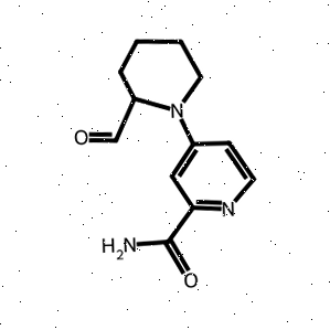 NC(=O)c1cc(N2CCCCC2C=O)ccn1